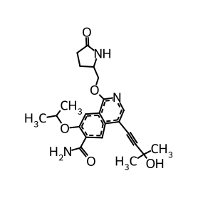 CC(C)Oc1cc2c(OCC3CCC(=O)N3)ncc(C#CC(C)(C)O)c2cc1C(N)=O